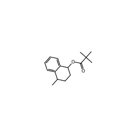 CC1CCC(OC(=O)C(C)(C)C)c2ccccc21